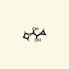 OC(C1CC1)C(O)N1CCC1